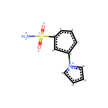 NS(=O)(=O)c1cccc(-n2cccc2)c1